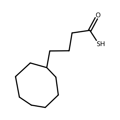 O=C(S)CCCC1CCCCCCC1